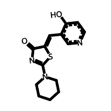 O=C1N=C(N2CCCCC2)SC1=Cc1cnccc1O